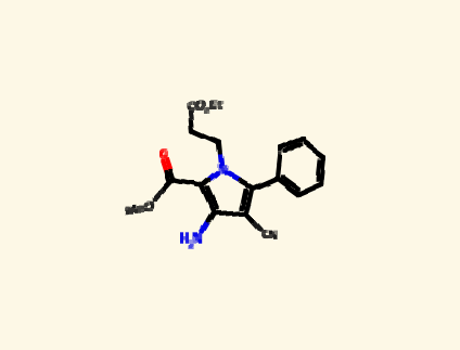 CCOC(=O)CCn1c(C(=O)OC)c(N)c(C#N)c1-c1ccccc1